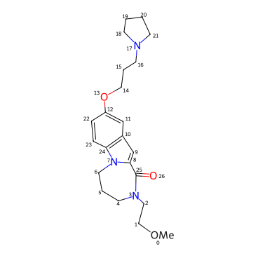 COCCN1CCCn2c(cc3cc(OCCCN4CCCC4)ccc32)C1=O